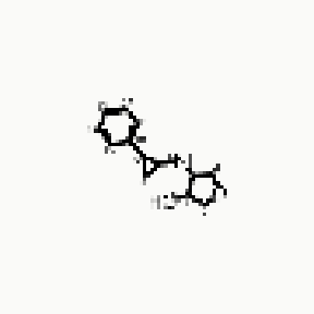 OC1COCC1NC1CC1c1ccccc1